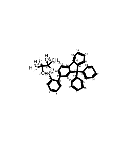 CC1(C)OB(c2ccccc2-c2ccc3c(c2)C(c2ccccc2)(c2ccccc2)c2ccccc2-3)OC1(C)C